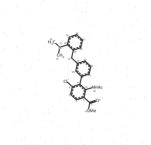 COC(=O)c1ccc(Cl)c(-c2cccc(Cc3ccccc3N(C)C)c2)c1NC(C)=O